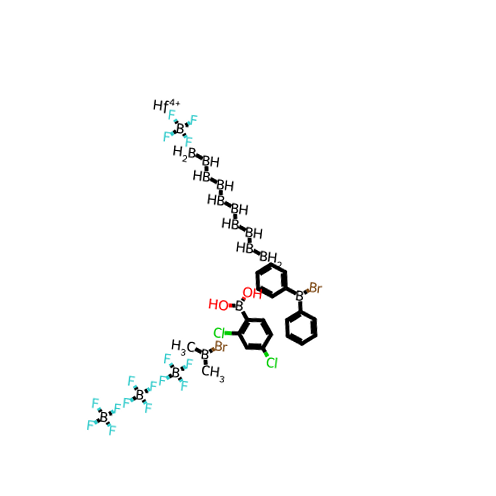 BBBBBBBBBB.BrB(c1ccccc1)c1ccccc1.CB(C)Br.F[B-](F)(F)F.F[B-](F)(F)F.F[B-](F)(F)F.F[B-](F)(F)F.OB(O)c1ccc(Cl)cc1Cl.[Hf+4]